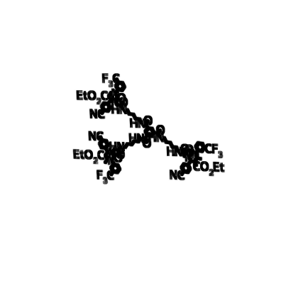 CCOC(=O)C1=CN(c2cccc(C(F)(F)F)c2)C(=O)N(CC(=O)NCCCCCNC(=O)c2cc(C(=O)NCCCCCNC(=O)CN3C(=O)N(c4cccc(C(F)(F)F)c4)C(C)=C(C(=O)OCC)C3c3ccc(C#N)cc3)cc(C(=O)NCCCCCNC(=O)CN3C(=O)N(c4cccc(C(F)(F)F)c4)C(C)=C(C(=O)OCC)C3c3ccc(C#N)cc3)c2)C1c1ccc(C#N)cc1